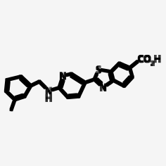 Cc1cccc(CNc2ccc(-c3nc4ccc(C(=O)O)cc4s3)cn2)c1